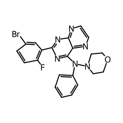 Fc1ccc(Br)cc1-c1nc(N(c2ccccc2)N2CCOCC2)c2nccnc2n1